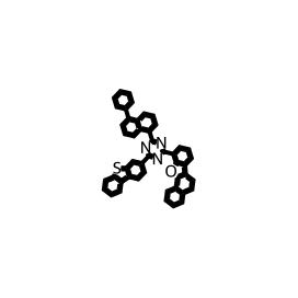 c1ccc(-c2cccc3c(-c4nc(-c5ccc6c(c5)sc5ccccc56)nc(-c5cccc6c5oc5c7ccccc7ccc65)n4)cccc23)cc1